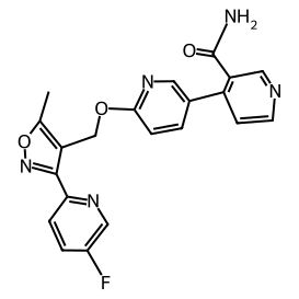 Cc1onc(-c2ccc(F)cn2)c1COc1ccc(-c2ccncc2C(N)=O)cn1